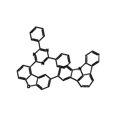 c1ccc(-c2nc(-c3ccccc3)nc(-c3cccc4oc5ccc(-c6ccc7c(c6)c6cccc8c9ccccc9n7c86)cc5c34)n2)cc1